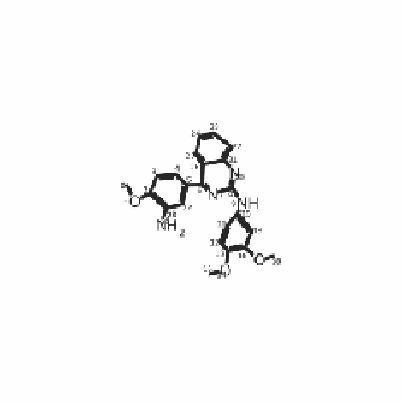 COc1ccc(-c2nc(Nc3ccc(OC)c(OC)c3)nc3ccccc23)cc1N